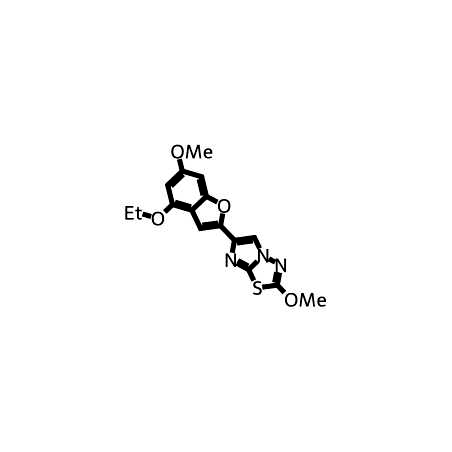 CCOc1cc(OC)cc2oc(-c3cn4nc(OC)sc4n3)cc12